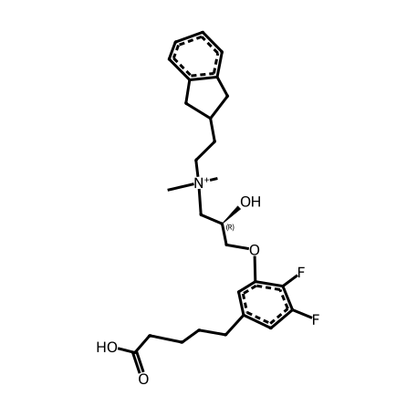 C[N+](C)(CCC1Cc2ccccc2C1)C[C@@H](O)COc1cc(CCCCC(=O)O)cc(F)c1F